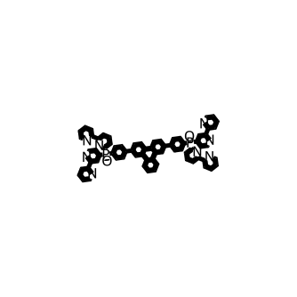 O=P(c1ccc(-c2ccc3c4ccc(-c5ccc(P(=O)(c6ccnc(-c7ccccn7)c6)c6cccc(-c7ccccn7)n6)cc5)cc4c4ccccc4c3c2)cc1)(c1ccnc(-c2ccccn2)c1)c1cccc(-c2ccccn2)n1